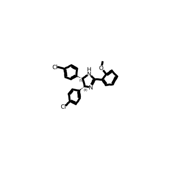 COc1ccccc1C1=N[C@H](c2ccc(Cl)cc2)[C@H](c2ccc(Cl)cc2)N1